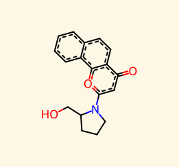 O=c1cc(N2CCCC2CO)oc2c1ccc1ccccc12